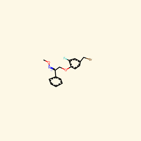 CO/N=C(\COc1ccc(CBr)cc1F)c1ccccc1